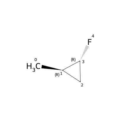 C[C@@H]1C[C@H]1F